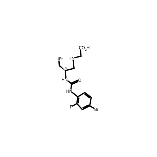 CC(C)C[C@@H](CNCC(=O)O)NC(=O)Nc1ccc(Br)cc1F